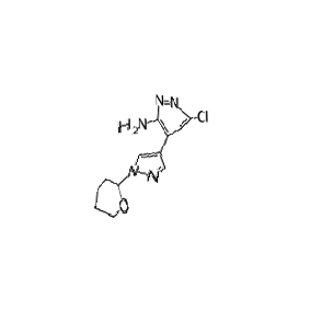 Nc1nnc(Cl)cc1-c1cnn(C2CCCCO2)c1